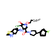 COCCOn1cc(C(=O)N2CCC(c3ccc(F)cc3)CC2)c(Nc2ccc3scnc3c2)c(Cl)c1=O